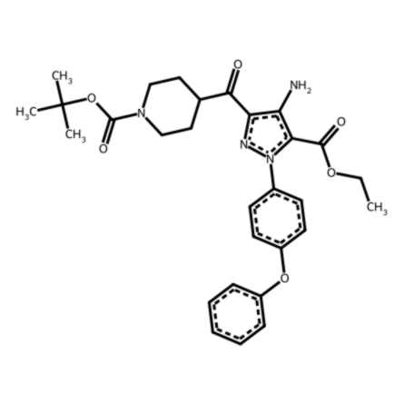 CCOC(=O)c1c(N)c(C(=O)C2CCN(C(=O)OC(C)(C)C)CC2)nn1-c1ccc(Oc2ccccc2)cc1